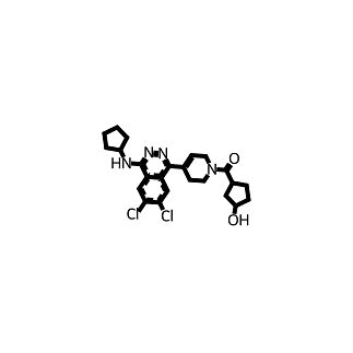 O=C(C1CCC(O)C1)N1CC=C(c2nnc(NC3CCCC3)c3cc(Cl)c(Cl)cc23)CC1